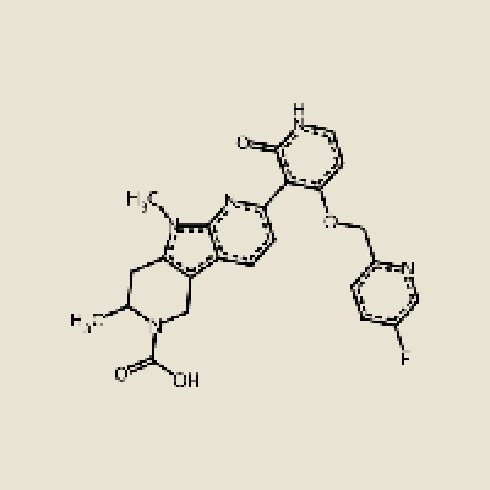 CC1Cc2c(c3ccc(-c4c(OCc5ccc(F)cn5)cc[nH]c4=O)nc3n2C)CN1C(=O)O